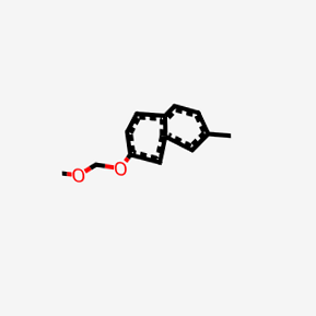 COCOc1ccc2ccc(C)cc2c1